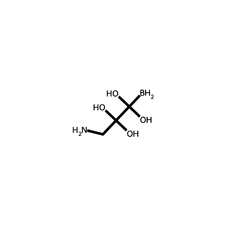 BC(O)(O)C(O)(O)CN